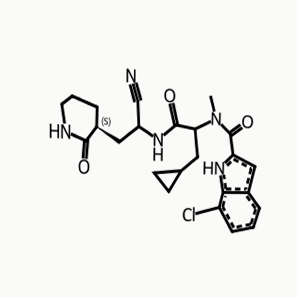 CN(C(=O)c1cc2cccc(Cl)c2[nH]1)C(CC1CC1)C(=O)NC(C#N)C[C@@H]1CCCNC1=O